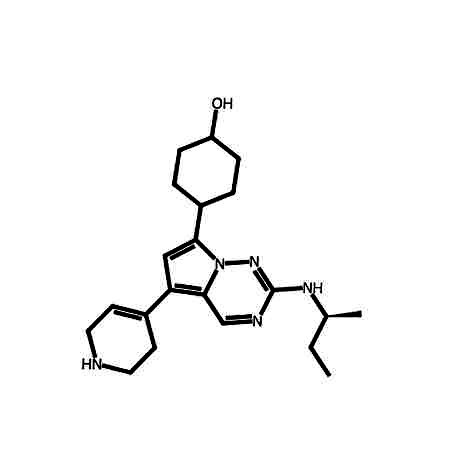 CC[C@H](C)Nc1ncc2c(C3=CCNCC3)cc(C3CCC(O)CC3)n2n1